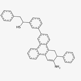 NC1=Cc2c(c3ccc(-c4cccc(C(S)Cc5ccccc5)c4)cc3c3ccccc23)CC1c1ccccc1